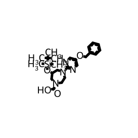 CC(C)(C)[Si](C)(C)OC1CN(C(=O)O)CCN(c2ncc(OCc3ccccc3)cn2)C1